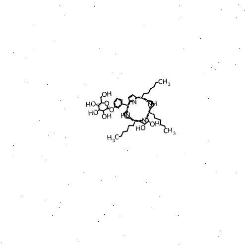 CCCCCCc1c2nc(c(-c3cccc(O[C@@H]4OC(CO)[C@H](O)C(O)C4O)c3)c3ccc([nH]3)c(CCCCCC)c3nc(c(CCCCCC)c4ccc1[nH]4)C(O)C3O)C=C2